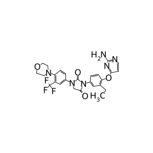 CCc1cc(N2C(=O)CN(c3ccc(N4CCOCC4)c(C(F)(F)F)c3)C2=O)ccc1Oc1ccnc(N)n1